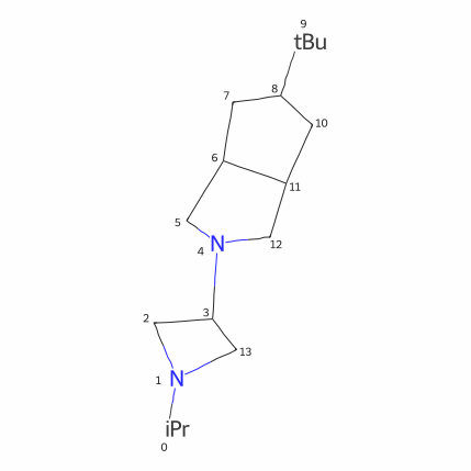 CC(C)N1CC(N2CC3CC(C(C)(C)C)CC3C2)C1